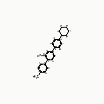 Cc1ccc(-c2ccc(-c3ccc(C4CCCCC4)cc3)cc2F)cc1